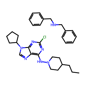 CCCC1CCN(Nc2nc(Cl)nc3c2ncn3C2CCCC2)CC1.c1ccc(CNCc2ccccc2)cc1